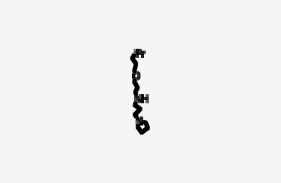 CC(C)CCCOCCCNCCCN1CCCC1